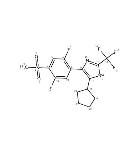 CS(=O)(=O)c1cc(F)c(-c2nc(C(F)(F)F)[nH]c2C2CCCC2)cc1F